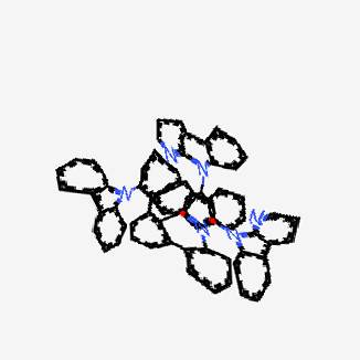 c1ccc(-n2c3ccccc3c3ccccc32)c(-c2cccc(-c3ccccc3-n3c4ccccc4c4ccccc43)c2-c2cc(-n3c4ccccc4c4cccnc43)cc(-n3c4ccccc4c4cccnc43)c2)c1